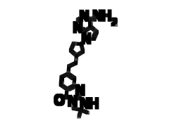 CC1(C)Cn2c(nc3cc(CCC4CCC(n5ccc6c(N)ncnc65)C4)ccc3c2=O)N1